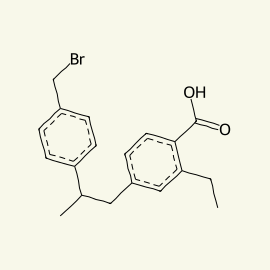 CCc1cc(CC(C)c2ccc(CBr)cc2)ccc1C(=O)O